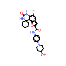 O=C1Nc2c(Cl)cc3cc(C(=O)Nc4ccc(N5CCC(O)CC5)cc4)oc3c2C2(CCCCC2)N1